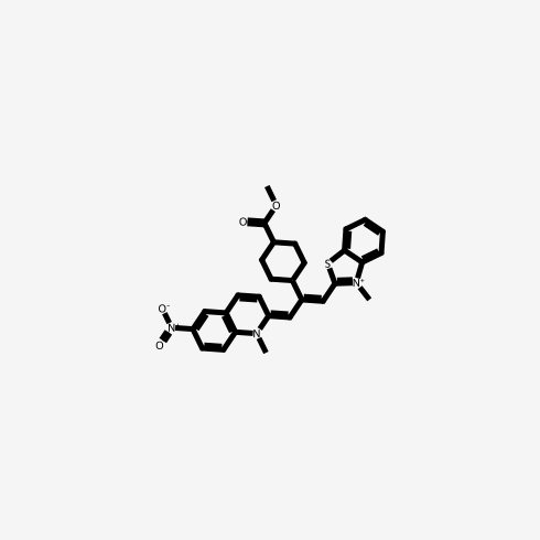 COC(=O)C1CCC(C(=C\c2sc3ccccc3[n+]2C)/C=C2\C=Cc3cc([N+](=O)[O-])ccc3N2C)CC1